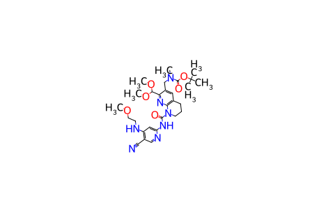 COCCNc1cc(NC(=O)N2CCCc3cc(CN(C)C(=O)OC(C)(C)C)c(C(OC)OC)nc32)ncc1C#N